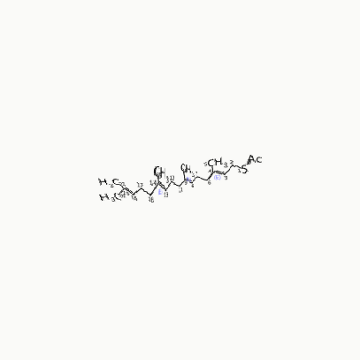 CC(=O)SC/C=C(\C)CC/C=C(\C)CC/C=C(\C)CCC=C(C)C